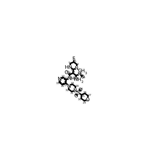 CN1CC(F)CNC1C(C(=O)Nc1cnccc1N1CCN(S(=O)(=O)C2CCOCC2)CC1)C(N)N=O